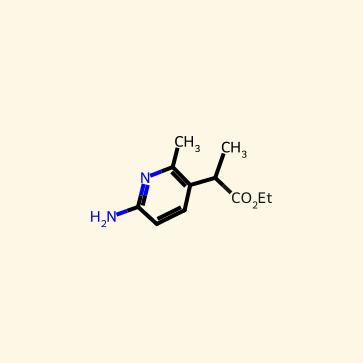 CCOC(=O)C(C)c1ccc(N)nc1C